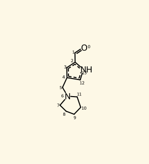 O=Cc1cc(CN2CCCCC2)c[nH]1